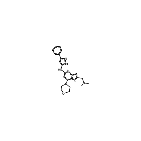 CN(C)Cc1cc2nc(Nc3cc(-c4ccccc4)n[nH]3)nc(N3CCOCC3)c2o1